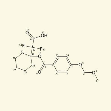 COCOc1ccc(C(=O)OC2(C(F)(F)C(=O)O)CCCCC2)cc1